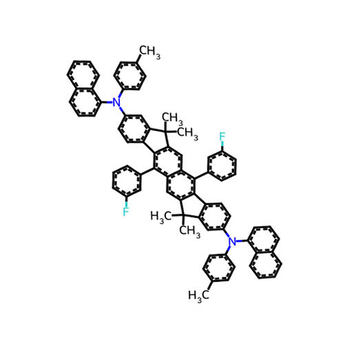 Cc1ccc(N(c2ccc3c(c2)C(C)(C)c2cc4c(-c5cccc(F)c5)c5c(cc4c(-c4cccc(F)c4)c2-3)C(C)(C)c2cc(N(c3ccc(C)cc3)c3cccc4ccccc34)ccc2-5)c2cccc3ccccc23)cc1